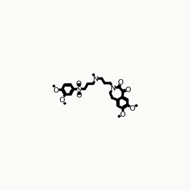 COc1ccc(S(=O)(=O)CCCN(C)CCCN2CCc3cc(OC)c(OC)cc3C(=O)C2=O)cc1OC